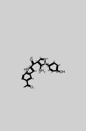 CC(=O)c1ccc2[nH]c(C(=O)c3cnn(-c4ccc(O)cc4)c3N)cc2c1